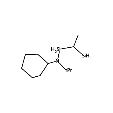 CCCN([SiH2]C(C)[SiH3])C1CCCCC1